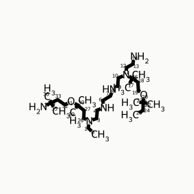 CCN(CCNCCNCCN(CCN)C(C)(C)CCOC(C)(C)CC)CCC(C)(C)OCCC(C)(C)N